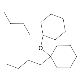 CCCCC1(OC2(CCCC)CCCCC2)CCCCC1